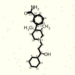 C[C@H]1CN(CC[C@@H](O)C2CCCCC2)CC[C@@]1(C)c1cccc(C(N)=O)c1